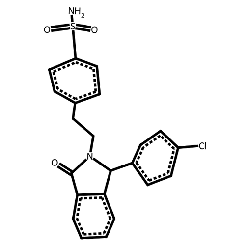 NS(=O)(=O)c1ccc(CCN2C(=O)c3ccccc3C2c2ccc(Cl)cc2)cc1